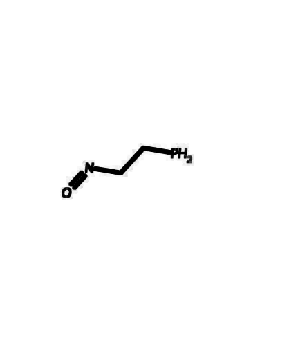 O=NCCP